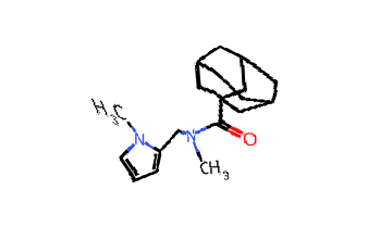 CN(Cc1cccn1C)C(=O)C12CC3CC(CC(C3)C1)C2